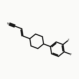 N#CC=CC1CCC(c2ccc(F)c(F)c2)CC1